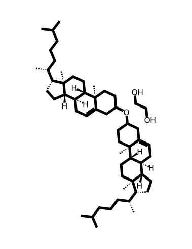 CC(C)CCC[C@@H](C)[C@H]1CC[C@H]2[C@@H]3CC=C4CC(OC5CC[C@@]6(C)C(=CC[C@H]7[C@@H]8CC[C@H]([C@H](C)CCCC(C)C)[C@@]8(C)CC[C@@H]76)C5)CC[C@]4(C)[C@H]3CC[C@]12C.OCCO